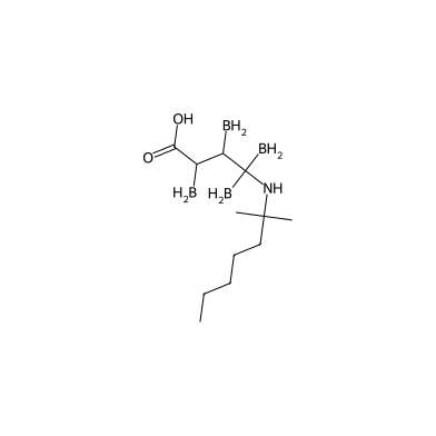 BC(C(=O)O)C(B)C(B)(B)NC(C)(C)CCCCC